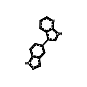 c1cnc2[nH]cc(-c3ccc4[nH]ncc4c3)c2c1